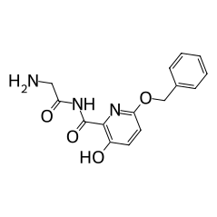 NCC(=O)NC(=O)c1nc(OCc2ccccc2)ccc1O